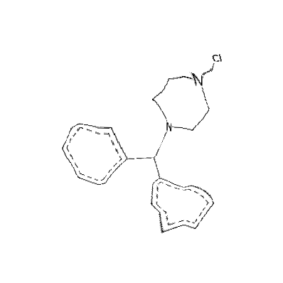 ClN1CCN(C(c2ccccc2)c2ccccc2)CC1